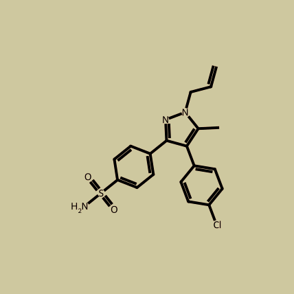 C=CCn1nc(-c2ccc(S(N)(=O)=O)cc2)c(-c2ccc(Cl)cc2)c1C